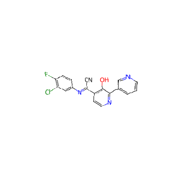 N#C/C(=N\c1ccc(F)c(Cl)c1)c1ccnc(-c2cccnc2)c1O